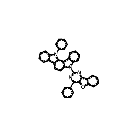 c1ccc(-c2nc(-n3c4ccccc4c4c3ccc3c5ccccc5n(-c5ccccc5)c34)nc3c2oc2ccccc23)cc1